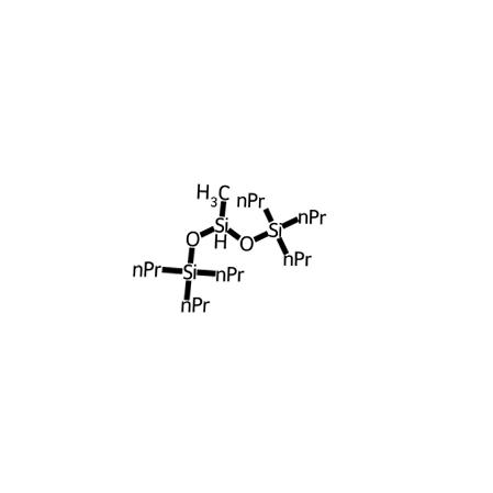 CCC[Si](CCC)(CCC)O[SiH](C)O[Si](CCC)(CCC)CCC